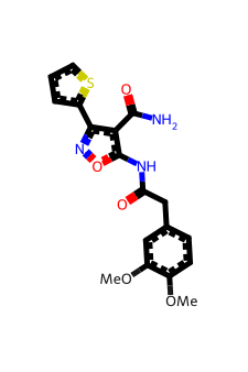 COc1ccc(CC(=O)Nc2onc(-c3cccs3)c2C(N)=O)cc1OC